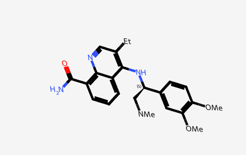 CCc1cnc2c(C(N)=O)cccc2c1N[C@H](CNC)c1ccc(OC)c(OC)c1